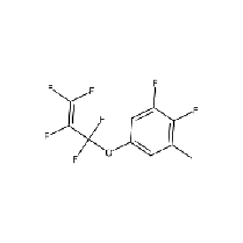 Cc1cc(OC(F)(F)C(F)=C(F)F)cc(F)c1F